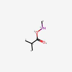 CPOC(=O)C(C)C